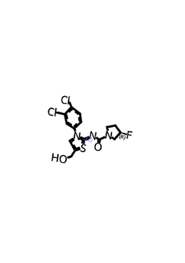 O=C(/N=c1\sc(CO)cn1-c1ccc(Cl)c(Cl)c1)N1CC[C@@H](F)C1